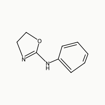 c1ccc(NC2=NCCO2)cc1